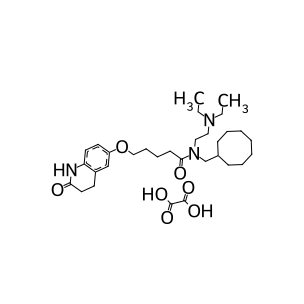 CCN(CC)CCN(CC1CCCCCCC1)C(=O)CCCCOc1ccc2c(c1)CCC(=O)N2.O=C(O)C(=O)O